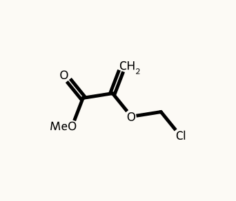 C=C(OCCl)C(=O)OC